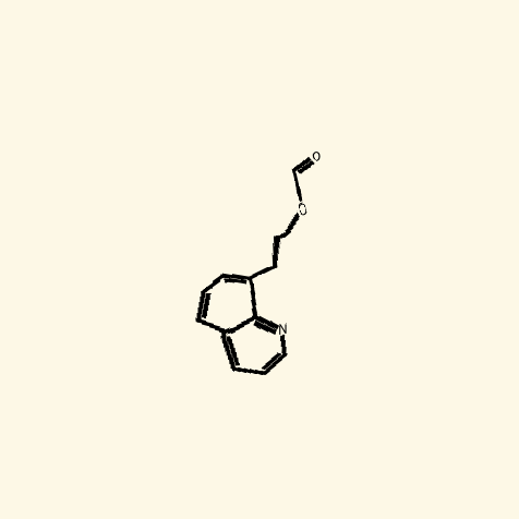 O=COCCc1cccc2cccnc12